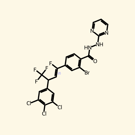 O=C(NNc1ncccn1)c1ccc(/C(F)=C/C(c2cc(Cl)c(Cl)c(Cl)c2)C(F)(F)F)cc1Br